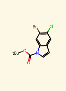 CC(C)(C)OC(=O)n1ccc2cc(Cl)c(Br)cc21